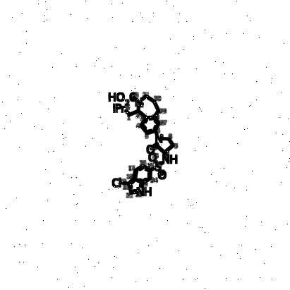 CC(C)CC1c2ccc(N3CC[C@H](NS(=O)(=O)c4ccc5c(Cl)c[nH]c5c4)C3=O)cc2CCCN1C(=O)O